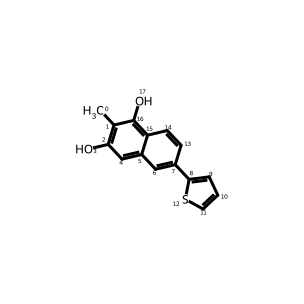 Cc1c(O)cc2cc(-c3cccs3)ccc2c1O